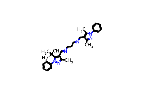 Cc1nn(-c2ccccc2)c(C)c1/C=N/CCC/N=C/c1c(C)nn(-c2ccccc2)c1C(C)(C)C